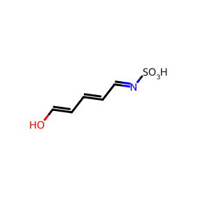 O=S(=O)(O)/N=C/C=C/C=C/O